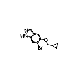 Brc1cc2[nH]ncc2cc1OCC1CC1